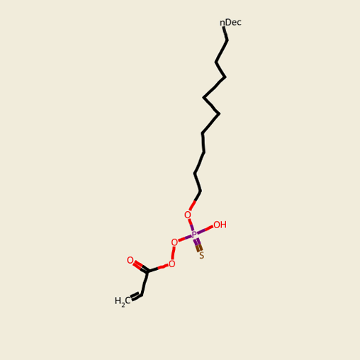 C=CC(=O)OOP(O)(=S)OCCCCCCCCCCCCCCCCCCC